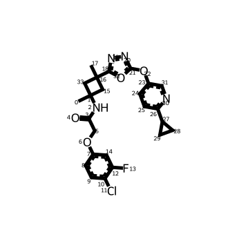 CC1(NC(=O)COc2ccc(Cl)c(F)c2)CC(C)(c2nnc(Oc3ccc(C4CC4)nc3)o2)C1